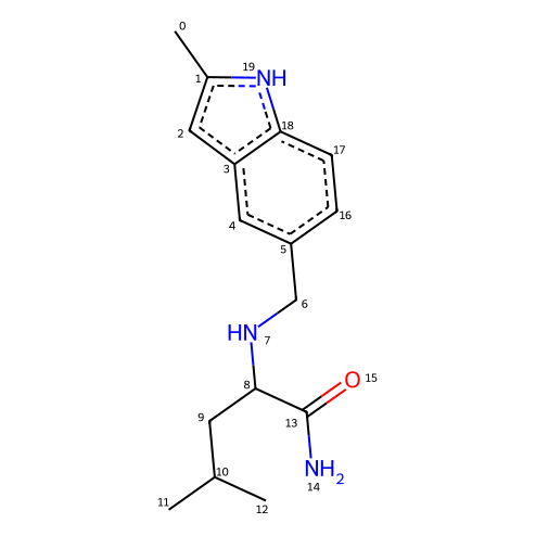 Cc1cc2cc(CNC(CC(C)C)C(N)=O)ccc2[nH]1